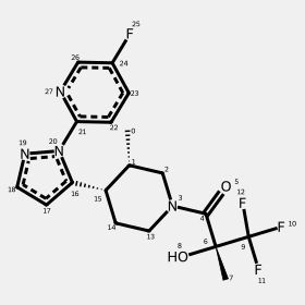 C[C@@H]1CN(C(=O)[C@@](C)(O)C(F)(F)F)CC[C@@H]1c1ccnn1-c1ccc(F)cn1